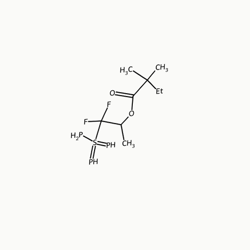 CCC(C)(C)C(=O)OC(C)C(F)(F)S(=P)(=P)P